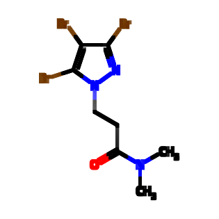 CN(C)C(=O)CCn1nc(Br)c(Br)c1Br